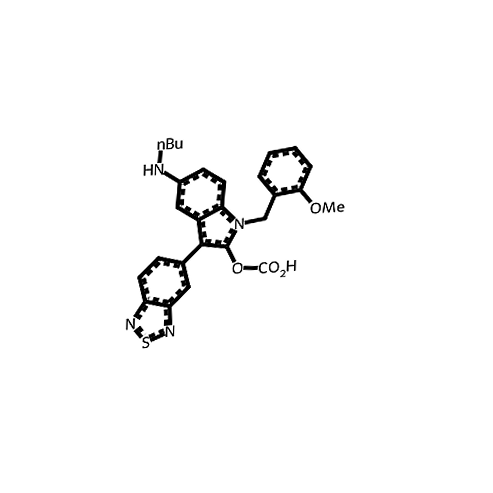 CCCCNc1ccc2c(c1)c(-c1ccc3nsnc3c1)c(OC(=O)O)n2Cc1ccccc1OC